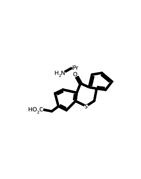 CC(C)N.O=C(O)Cc1ccc2c(c1)SCc1ccccc1C2=O